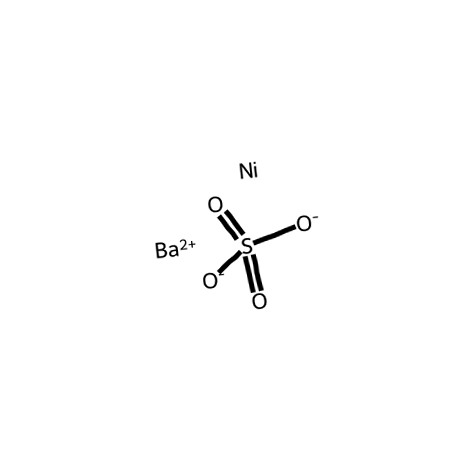 O=S(=O)([O-])[O-].[Ba+2].[Ni]